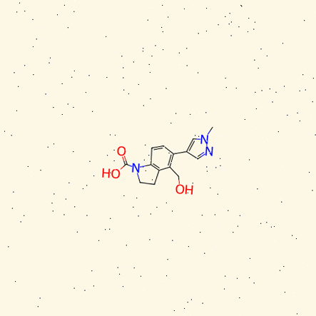 Cn1cc(-c2ccc3c(c2CO)CCN3C(=O)O)cn1